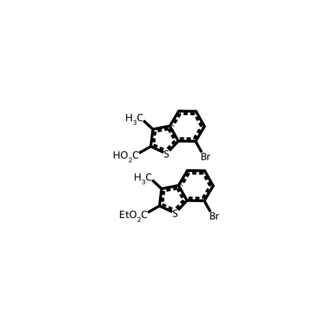 CCOC(=O)c1sc2c(Br)cccc2c1C.Cc1c(C(=O)O)sc2c(Br)cccc12